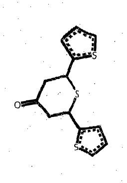 O=C1CC(c2cccs2)SC(c2cccs2)C1